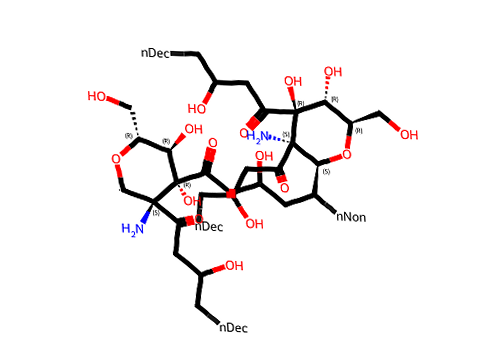 CCCCCCCCCCCC(O)CC(=O)[C@]1(N)[CH]O[C@H](CO)[C@@H](O)[C@@]1(O)C(=O)CC(O)CC(CCCCCCCCC)[C@@H]1O[C@H](CO)[C@@H](O)[C@@](O)(C(=O)CC(O)CCCCCCCCCCC)[C@]1(N)C(=O)CC(O)CCCCCCCCCCC